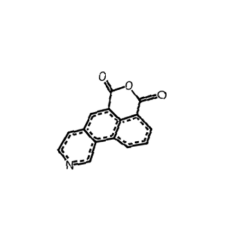 O=C1OC(=O)c2cc3ccncc3c3cccc1c23